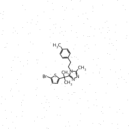 Cc1ccc(CCn2c(C)nnc2C(C)(C)c2ccc(Br)s2)cc1